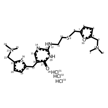 CN(C)Cc1ccc(CSCCNc2ncc(Cc3ccc(CN(C)C)s3)c(=O)[nH]2)o1.Cl.Cl.Cl